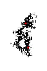 CN[C@H](CC(C)C)C(=O)N[C@H]1C(=O)N[C@@H](C)C(=O)NC(C(N)=O)c2cc(Oc3ccc(CCC(=O)N[C@H](C(=O)O)c4cc(O)cc(O)c4-c4cc(CC(N)=O)ccc4O)cc3Cl)c(O[C@H]3C[C@@H](O)C[C@@H](O)O3)c(c2)Oc2ccc(cc2Cl)[C@H]1O